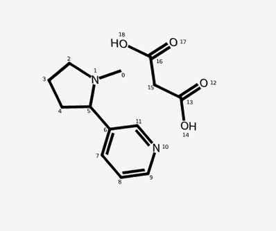 CN1CCCC1c1cccnc1.O=C(O)CC(=O)O